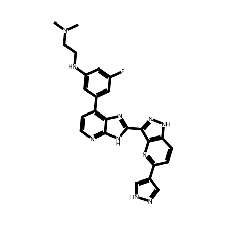 CN(C)CCNc1cc(F)cc(-c2ccnc3[nH]c(-c4n[nH]c5ccc(-c6cn[nH]c6)nc45)nc23)c1